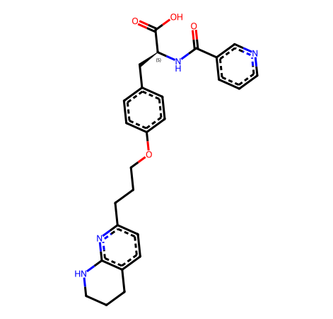 O=C(N[C@@H](Cc1ccc(OCCCc2ccc3c(n2)NCCC3)cc1)C(=O)O)c1cccnc1